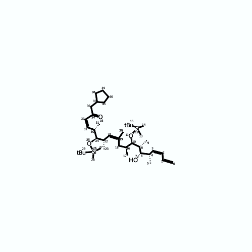 C=C/C=C\[C@H](C)[C@H](O)[C@@H](C)[C@H](O[Si](C)(C)C(C)(C)C)[C@@H](C)C/C(C)=C\[C@H](C)[C@@H](O[Si](C)(C)C(C)(C)C)[C@@H](C)/C=C\C(=O)CC1CCCC1